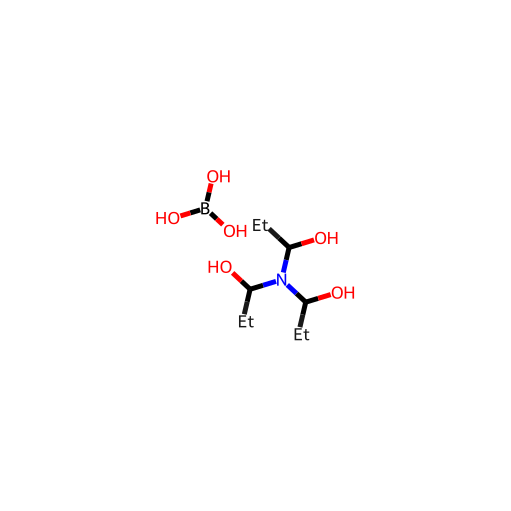 CCC(O)N(C(O)CC)C(O)CC.OB(O)O